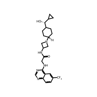 [2H]C1(N2CC(NC(=O)CNc3ncnc4ccc(C(F)(F)F)cc34)C2)CCC([C@H](O)C2CC2)CC1